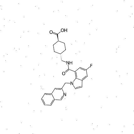 O=C(NC[C@H]1CC[C@H](C(=O)O)CC1)c1cc(F)cc2ccn(Cc3cc4ccccc4cn3)c12